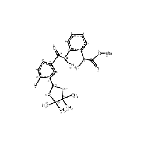 CCC(C(=O)OC(C)(C)C)c1ccccc1N(C)C(=O)c1ccc(Cl)c(B2OC(C)(C)C(C)(C)O2)c1